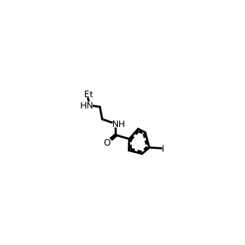 CCNCCNC(=O)c1ccc(I)cc1